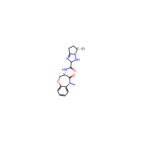 CC[C@H]1CCC2=NC(C(=O)N[C@H]3COc4ccccc4N(C)C3=O)NN21